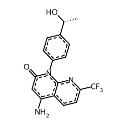 C[C@@H](O)c1ccc(-n2c(=O)cc(N)c3ccc(C(F)(F)F)nc32)cc1